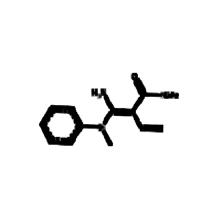 C=C/C(C(=O)NC)=C(/N)N(C)c1ccccc1